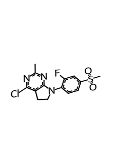 Cc1nc(Cl)c2c(n1)N(c1ccc(S(C)(=O)=O)cc1F)CC2